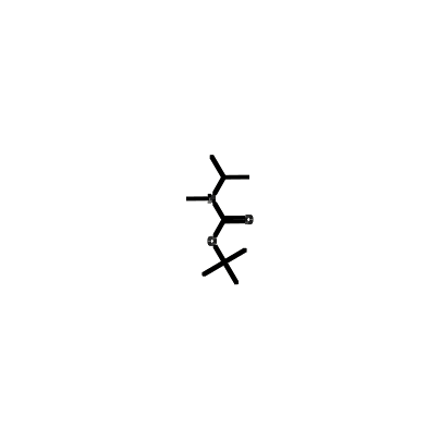 CC(C)N(C)C(=O)OC(C)(C)C